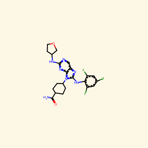 NC(=O)C1CCC(n2c(Nc3c(F)cc(F)cc3F)nc3cnc(NC4CCOC4)nc32)CC1